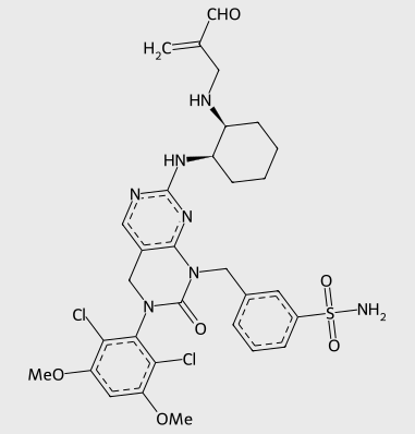 C=C(C=O)CN[C@H]1CCCC[C@H]1Nc1ncc2c(n1)N(Cc1cccc(S(N)(=O)=O)c1)C(=O)N(c1c(Cl)c(OC)cc(OC)c1Cl)C2